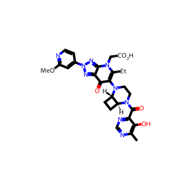 CCc1c(N2CCN(C(=O)c3ncnc(C)c3O)[C@H]3CC[C@@H]32)c(=O)c2nn(-c3ccnc(OC)c3)nc2n1CC(=O)O